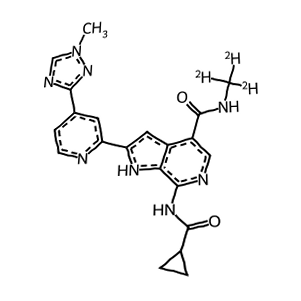 [2H]C([2H])([2H])NC(=O)c1cnc(NC(=O)C2CC2)c2[nH]c(-c3cc(-c4ncn(C)n4)ccn3)cc12